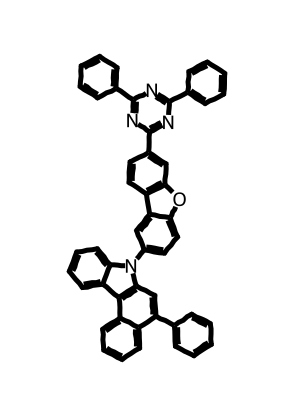 c1ccc(-c2nc(-c3ccccc3)nc(-c3ccc4c(c3)oc3ccc(-n5c6ccccc6c6c7ccccc7c(-c7ccccc7)cc65)cc34)n2)cc1